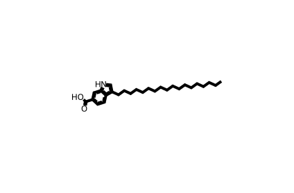 CCCCCCCCCCCCCCCCCCc1c[nH]c2cc(C(=O)O)ccc12